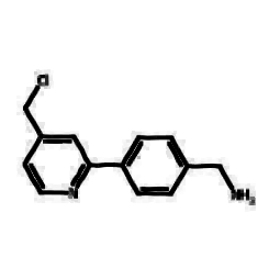 NCc1ccc(-c2cc(CCl)ccn2)cc1